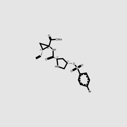 C=C[C@@H]1C[C@]1(NC(=O)[C@@H]1C[C@H](OS(=O)(=O)c2ccc(Br)cc2)CN1)C(=O)OC